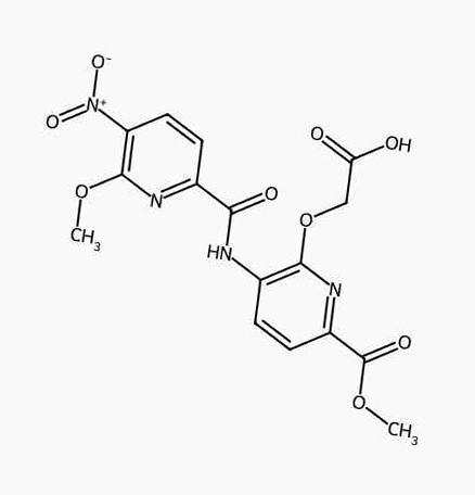 COC(=O)c1ccc(NC(=O)c2ccc([N+](=O)[O-])c(OC)n2)c(OCC(=O)O)n1